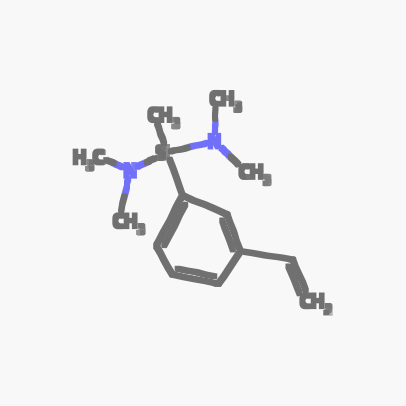 C=Cc1cccc([Si](C)(N(C)C)N(C)C)c1